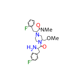 CNC(=O)C(Cc1ccccc1F)N1CCN(C(=O)C(N)Cc2ccc(F)cc2)C(COC)C1